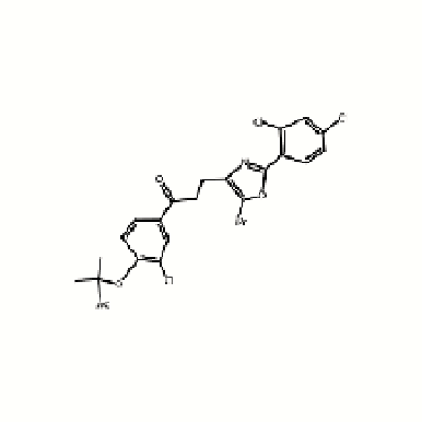 CC(=O)C(C)(C)Oc1ccc(C(=O)CCc2nc(-c3ccc(Cl)cc3Cl)oc2C(C)C)cc1Cl